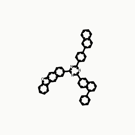 c1ccc(-c2cccc3cc(-c4nc(-c5ccc(-c6ccc7ccccc7c6)cc5)nc(-c5ccc6cc7oc8ccccc8c7cc6c5)n4)ccc23)cc1